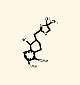 COc1ccc2c(c1OC)CCC(CC1=NC(C)(C)CO1)C2C#N